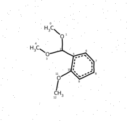 CO[C](OC)c1ccccc1OC